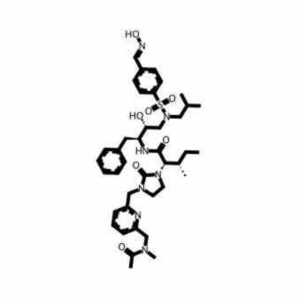 CC[C@H](C)[C@@H](C(=O)N[C@@H](Cc1ccccc1)[C@H](O)CN(CC(C)C)S(=O)(=O)c1ccc(/C=N/O)cc1)N1CCN(Cc2cccc(CN(C)C(C)=O)n2)C1=O